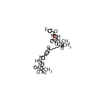 CC(=O)c1c(C)c2cnc(Nc3ccc(N4CCN(C(=O)CCCCCCC(=O)N(C)C(C)C(=O)NC(C(=O)N5CCC[C@H]5c5nc(C(=O)c6ccc(F)cc6)cs5)C5CCCCC5)CC4)cn3)nc2n(C2CCCC2)c1=O